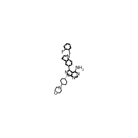 Nc1ncnc2c1c(-c1ccc3c(ccn3Cc3ccccc3F)c1)nn2[C@H]1CC[C@H](N2CCOCC2)CC1